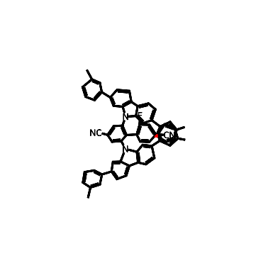 Cc1cccc(-c2ccc3c4ccc(-c5cccc(C)c5)cc4n(-c4cc(C#N)cc(-n5c6cc(-c7cccc(C)c7)ccc6c6ccc(-c7cccc(C)c7)cc65)c4-c4ccc(C#N)cc4F)c3c2)c1